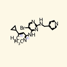 C/N=C(\C=C(/C)C1CC1)Nc1nc(NCc2ccncc2)ncc1Br